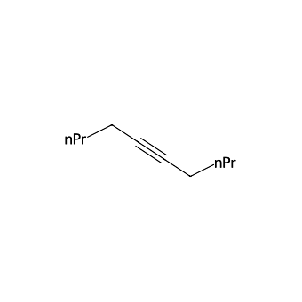 C[CH]CCC#CCCCC